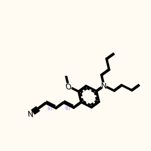 CCCCN(CCCC)c1ccc(/C=C/C=C/C#N)c(OC)c1